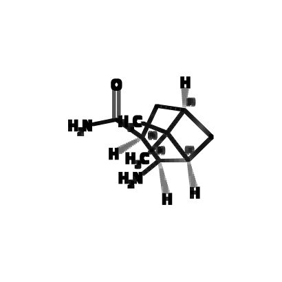 CC1(C)[C@H]2C[C@H](C(N)=O)[C@H](N)[C@@H]1C2